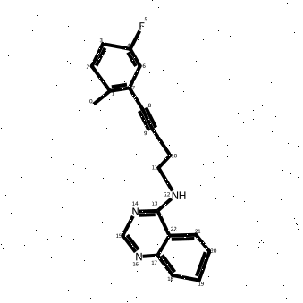 Cc1ccc(F)cc1C#CCCNc1ncnc2ccccc12